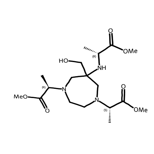 COC(=O)[C@@H](C)N1CCN([C@@H](C)C(=O)OC)CC(CO)(N[C@H](C)C(=O)OC)C1